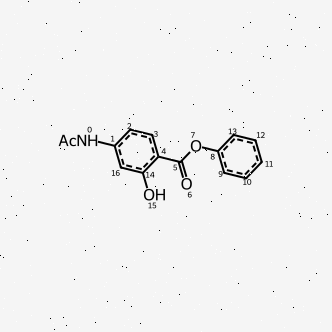 CC(=O)Nc1ccc(C(=O)Oc2ccccc2)c(O)c1